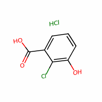 Cl.O=C(O)c1cccc(O)c1Cl